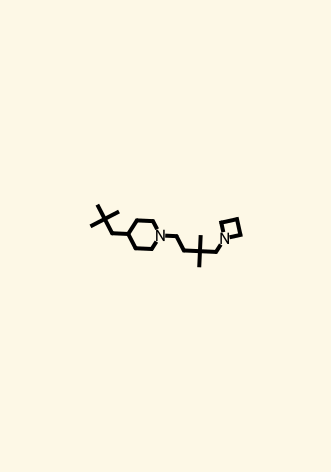 CC(C)(C)CC1CCN(CCC(C)(C)CN2CCC2)CC1